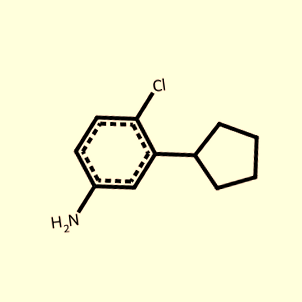 Nc1ccc(Cl)c(C2CCCC2)c1